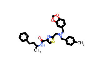 Cc1ccc(CN(Cc2ccc3c(c2)OCO3)Cc2nc(C(=O)NC(C)CCc3ccccc3)cs2)cc1